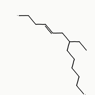 [CH2]CCC=CCC(CC)CCCCC[CH2]